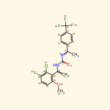 C=C(NC(=O)/N=C(\C)c1ccc(C(F)(F)F)cc1)c1c(OC)ccc(F)c1Cl